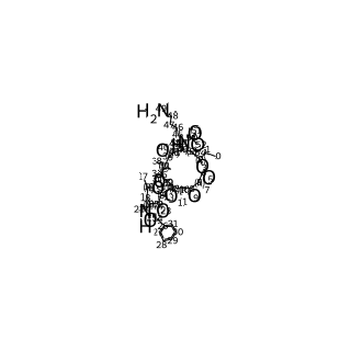 CC[C@H]1OC(=O)[C@H](C)C(=O)[C@H](C)[C@@H](O[C@@H]2O[C@H](C)C[C@H](NC)[C@H]2OC(=O)c2ccccc2)[C@@](C)(OC)C[C@@H](C)C(=O)[C@H](C)[C@H]2N(CCCCN)C(=O)O[C@]12C